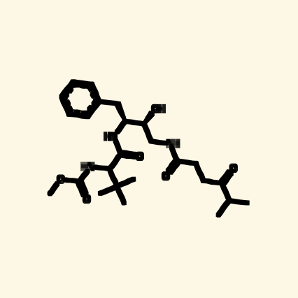 COC(=O)NC(C(=O)N[C@@H](Cc1ccccc1)[C@@H](O)CNC(=O)CCC(=O)C(C)C)C(C)(C)C